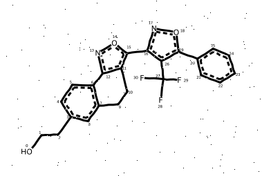 OCCc1ccc2c(c1)CCc1c-2noc1-c1noc(-c2ccccc2)c1C(F)(F)F